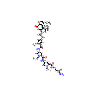 Cc1csc2c1[C@@]1(C)C(=CC2=O)N(C(=O)Nc2cc(C(=O)Nc3cc(C(=O)Nc4cc(C(=O)NCCC(N)=O)n(C)c4)n(C)c3)n(C)c2)C[C@@H]1C